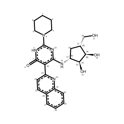 O=c1[nH]c(N2CCCCC2)nc(N[C@@H]2C[C@H](CO)[C@@H](O)[C@H]2O)c1-c1ccc2ccccc2n1